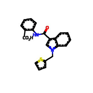 O=C(O)c1ccccc1NC(=O)c1cn(Cc2cccs2)c2ccccc12